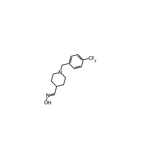 ON=CC1CCN(Cc2ccc(C(F)(F)F)cc2)CC1